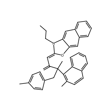 C=C(/C=C1\Oc2cc3ccccc3cc2N1CCC)C(C)(Cc1ccc(C)cc1)c1c(C)ccc2ccccc12